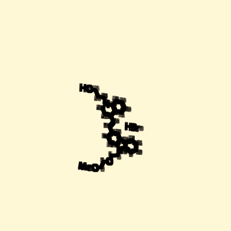 Br.COCCOCCn1c2ccccc2c2cc(C=CC3=CCN(CCCO)c4ccccc43)ccc21